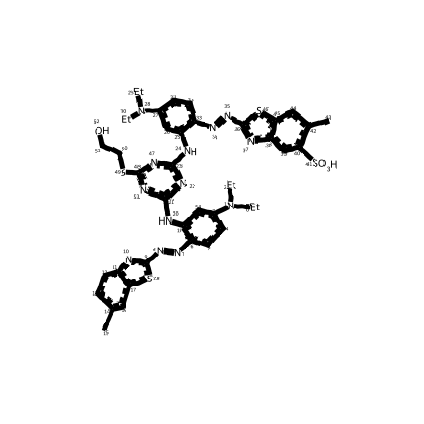 CCN(CC)c1ccc(/N=N/c2nc3ccc(C)cc3s2)c(Nc2nc(Nc3cc(N(CC)CC)ccc3/N=N/c3nc4cc(S(=O)(=O)O)c(C)cc4s3)nc(SCCO)n2)c1